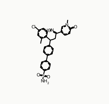 Cc1cc(Cl)ccc1C(C/C(=N\O)c1ccc(=O)n(C)c1)c1ccc(-c2ccc(S(N)(=O)=O)cc2)cc1